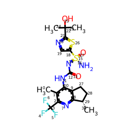 Cc1c(C(F)(F)F)nc2c(c1NC(=O)N=S(N)(=O)c1cnc(C(C)(C)O)s1)CC[C@@H]2C